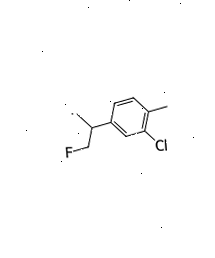 [CH2]C(CF)c1ccc(C)c(Cl)c1